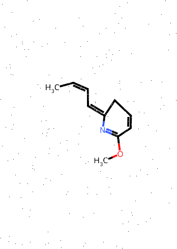 C/C=C\C=C1/CC=CC(OC)=N1